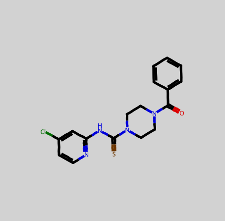 O=C(c1ccccc1)N1CCN(C(=S)Nc2cc(Cl)ccn2)CC1